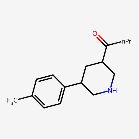 CCCC(=O)C1CNCC(c2ccc(C(F)(F)F)cc2)C1